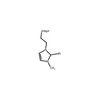 CCCCCCCCCN1C=CN(C)C1C(C)C